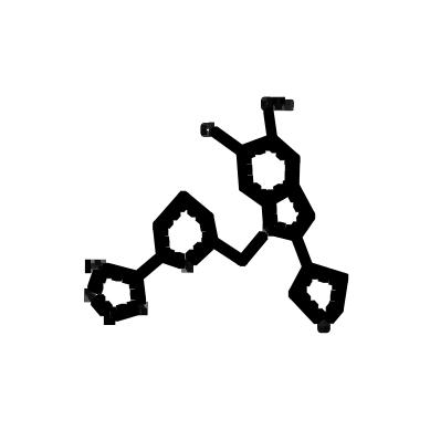 COc1cc2cc(-c3ccoc3)n(Cc3cccc(-c4nnn[nH]4)n3)c2cc1Cl